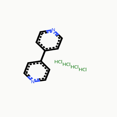 Cl.Cl.Cl.Cl.c1cc(-c2ccncc2)ccn1